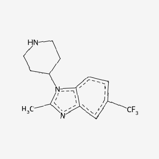 Cc1nc2cc(C(F)(F)F)ccc2n1C1CCNCC1